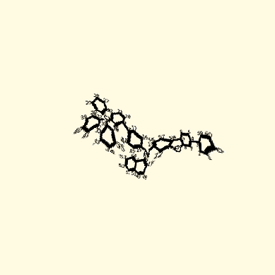 c1ccc(-c2ccc3c(c2)oc2cc(N(c4ccc(-c5cccc([Si](c6ccccc6)(c6ccccc6)c6ccccc6)c5)cc4)c4cccc5ccccc45)ccc23)cc1